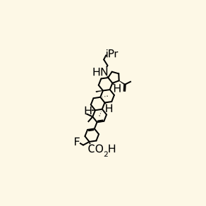 C=C(C)[C@@H]1CC[C@]2(NCCC(C)C)CC[C@]3(C)C(CC[C@@H]4[C@@]5(C)CC=C(C6=CC[C@](CF)(C(=O)O)CC6)C(C)(C)[C@@H]5CC[C@]43C)[C@@H]12